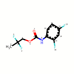 CC(F)(F)COC(=O)Nc1ccc(F)cc1F